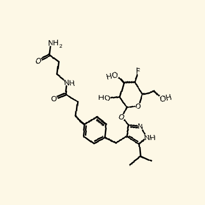 CC(C)c1[nH]nc(OC2OC(CO)C(F)C(O)C2O)c1Cc1ccc(CCC(=O)NCCC(N)=O)cc1